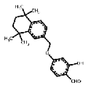 CC1(C)CCC(C)(C)c2cc(COc3ccc([C]=O)c(O)c3)ccc21